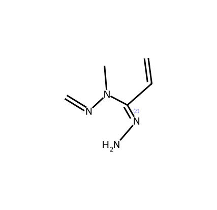 C=C/C(=N/N)N(C)N=C